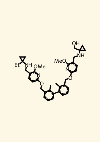 CCC1(NCc2ccc(OCc3cccc(-c4cccc(COc5ccc(CNC6(CO)CC6)c(OC)n5)c4C)c3C)nc2OC)CC1